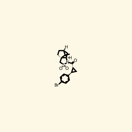 CC1(C)[C@@H]2CC[C@]13CS(=O)(=O)N(C(=O)[C@@H]1C[C@H]1c1ccc(Br)cc1)[C@@H]3C2